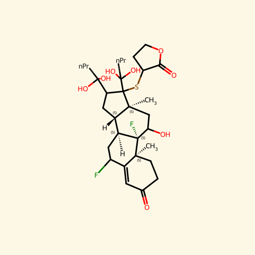 CCCC(O)(O)C1C[C@H]2[C@@H]3CC(F)C4=CC(=O)CC[C@]4(C)[C@]3(F)C(O)C[C@]2(C)C1(SC1CCOC1=O)C(O)(O)CCC